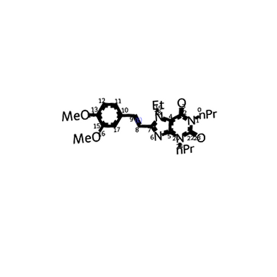 CCCn1c(=O)c2c(nc(/C=C/c3ccc(OC)c(OC)c3)n2CC)n(CCC)c1=O